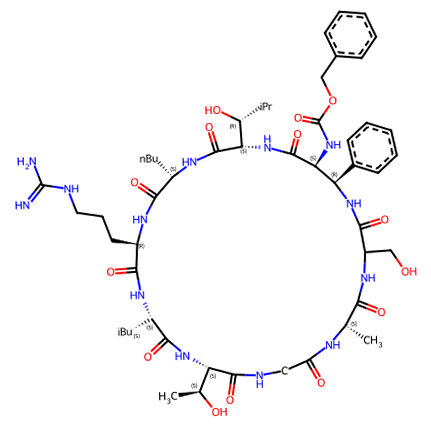 CCCC[C@@H]1NC(=O)[C@H]([C@H](O)C(C)C)NC(=O)[C@@H](NC(=O)OCc2ccccc2)[C@@H](c2ccccc2)NC(=O)C(CO)NC(=O)[C@H](C)NC(=O)CNC(=O)[C@H]([C@H](C)O)NC(=O)[C@H]([C@@H](C)CC)NC(=O)[C@@H](CCCNC(=N)N)NC1=O